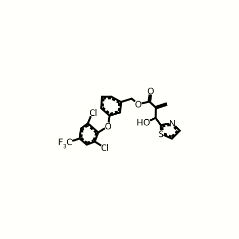 C=C(C(=O)OCc1cccc(Oc2c(Cl)cc(C(F)(F)F)cc2Cl)c1)C(O)c1nccs1